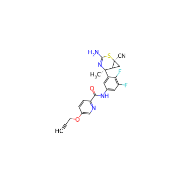 C#CCOc1ccc(C(=O)Nc2cc(F)c(F)c([C@@]3(C)N=C(N)S[C@@]4(C#N)CC43)c2)nc1